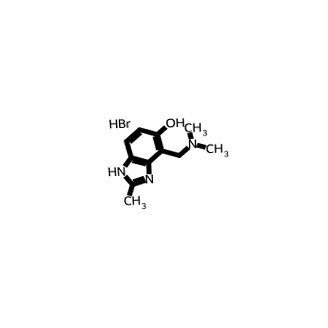 Br.Cc1nc2c(CN(C)C)c(O)ccc2[nH]1